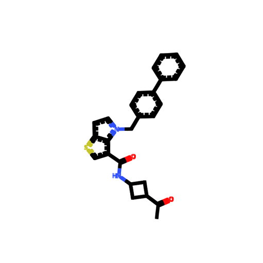 CC(=O)C1CC(NC(=O)c2csc3ccn(Cc4ccc(-c5ccccc5)cc4)c23)C1